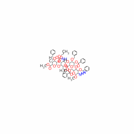 C=CCOC(=O)OC1[C@H](O[C@@H]2C(CC)O[C@@H](O[C@H]3C(C(=O)OC)O[C@@H](O[C@@H]4C(COC(=O)c5ccccc5)O[C@H](OC)C(N=[N+]=[N-])[C@@H]4OCc4ccccc4)C(OC(=O)c4ccccc4)[C@@H]3OCc3ccccc3)[C@H]3NC(=O)OC23)OC(C(=O)OC)[C@@H](C)[C@H]1OCc1ccccc1